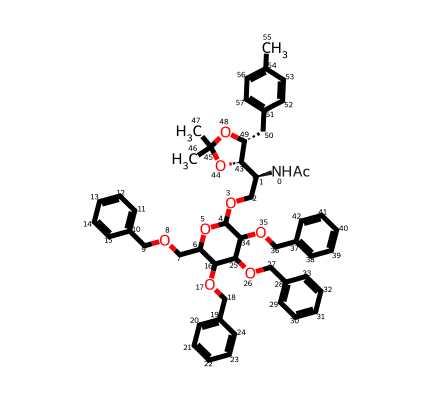 CC(=O)N[C@@H](COC1OC(COCc2ccccc2)C(OCc2ccccc2)C(OCc2ccccc2)C1OCc1ccccc1)[C@@H]1OC(C)(C)O[C@@H]1Cc1ccc(C)cc1